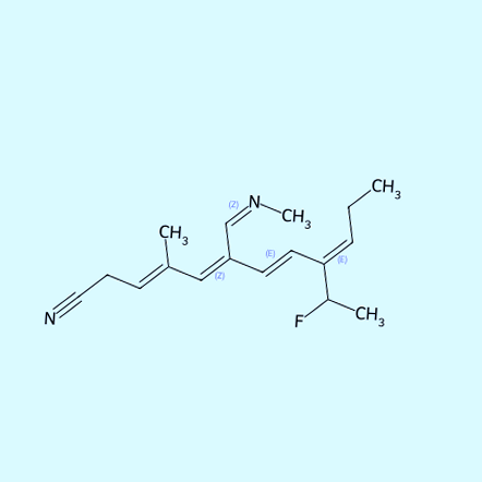 CC\C=C(/C=C/C(/C=N\C)=C/C(C)=CCC#N)C(C)F